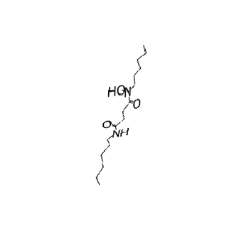 CCCCCCNC(=O)CCC(=O)N(O)CCCCCC